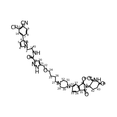 CC(Cn1ccc(-c2ccc(C#N)c(Cl)c2)n1)NC(=O)c1cc(COCCCCN2CCN(c3ccc4c(c3)C(=O)N(C3CCC(=O)NC3=O)C4=O)CC2)[nH]n1